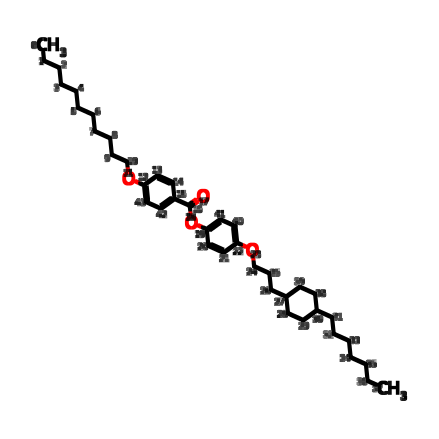 CCCCCCCCCCCOc1ccc(C(=O)Oc2ccc(OCCCC3CCC(CCCCCCC)CC3)cc2)cc1